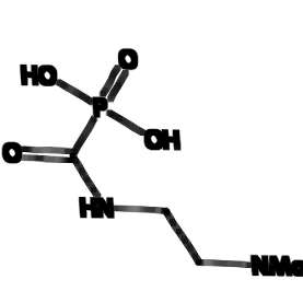 CNCCNC(=O)P(=O)(O)O